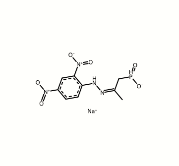 CC(C[PH](=O)[O-])=NNc1ccc([N+](=O)[O-])cc1[N+](=O)[O-].[Na+]